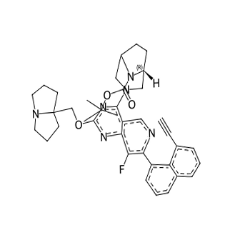 C#Cc1cccc2cccc(-c3ncc4c(N5CC6CC[C@H](C5)N6C(=O)OC(C)(C)C)nc(OCC56CCCN5CCC6)nc4c3F)c12